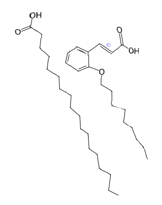 CCCCCCCCCCCCCCCCCC(=O)O.CCCCCCCCCOc1ccccc1/C=C/C(=O)O